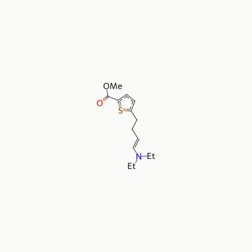 CCN(C=CCCc1ccc(C(=O)OC)s1)CC